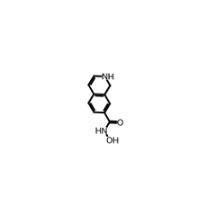 O=C(NO)c1ccc2c(c1)CNC=C2